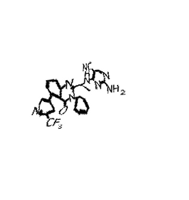 C[C@H](Nc1nc(N)ncc1C#N)c1nc2cccc(-c3cncc(C(F)(F)F)c3)c2c(=O)n1-c1ccccc1